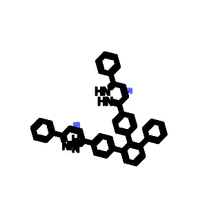 N=C(/C=C\C(=N)c1ccc(-c2cccc(-c3ccccc3)c2-c2ccc(C(=N)/C=C\C(=N)c3ccccc3)cc2)cc1)c1ccccc1